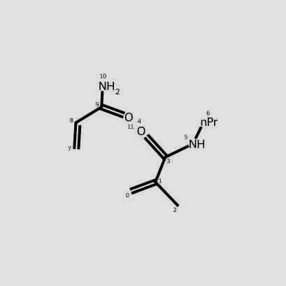 C=C(C)C(=O)NCCC.C=CC(N)=O